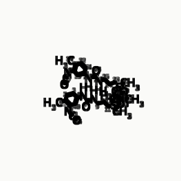 Cc1ccc(NC(=O)NCCC[Si](C)(C)O[Si](C)(C)O[Si](C)(C)CCCNC(=O)Nc2ccc(C)c(N=C=O)c2)cc1N=C=O